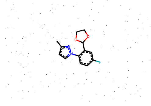 Cc1ccn(-c2ccc(F)cc2C2OCCO2)n1